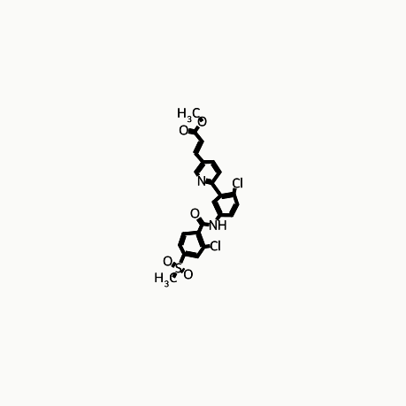 COC(=O)/C=C/c1ccc(-c2cc(NC(=O)c3ccc(S(C)(=O)=O)cc3Cl)ccc2Cl)nc1